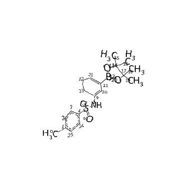 Cc1ccc(S(=O)(=O)NC2=CC(B3OC(C)(C)C(C)(C)O3)=CCC2)cc1